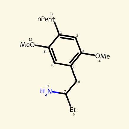 CCCCCc1cc(OC)c(CC(N)CC)cc1OC